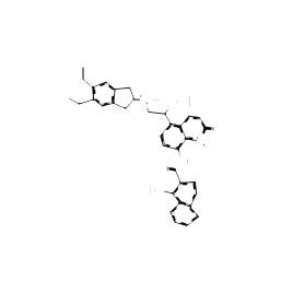 CCc1cc2c(cc1CC)CC(NCC(O)c1ccc(OC(=O)c3ccc4ccccc4c3O)c3[nH]c(=O)ccc13)C2